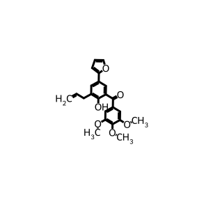 C=CCc1cc(-c2ccco2)cc(C(=O)c2cc(OC)c(OC)c(OC)c2)c1O